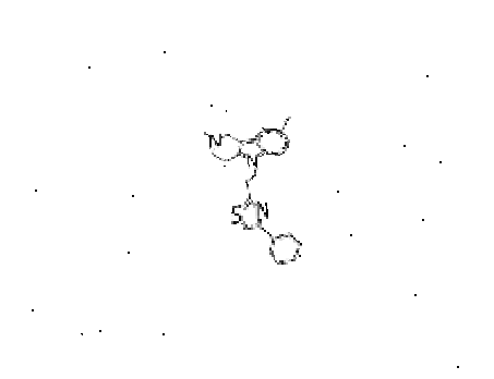 Cc1ccc2c(c1)c1c(n2CCc2nc(-c3ccccc3)cs2)CCN(C)C1